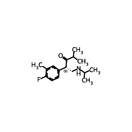 Cc1cc([C@@H](CNC(C)C)C(=O)C(C)C)ccc1F